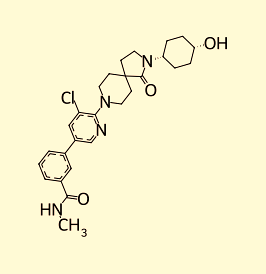 CNC(=O)c1cccc(-c2cnc(N3CCC4(CC3)CCN([C@H]3CC[C@@H](O)CC3)C4=O)c(Cl)c2)c1